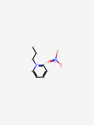 CCC[n+]1ccccc1.O=[N+]([O-])[O-]